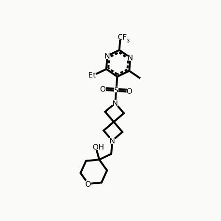 CCc1nc(C(F)(F)F)nc(C)c1S(=O)(=O)N1CC2(CN(CC3(O)CCOCC3)C2)C1